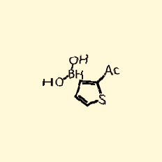 CC(=O)c1cccs1.OBO